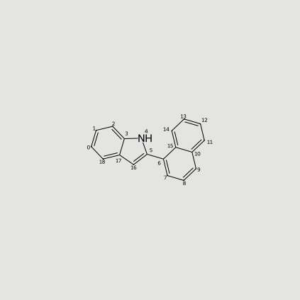 c1ccc2[nH]c(-c3cccc4ccccc34)cc2c1